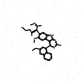 CCC/C(C)=C(\C(C)=N/C)c1cc2[nH]c3nc(C)nc(-c4cc(CC)nc5ccccc45)c3c2cc1OC